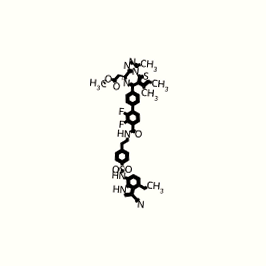 CCc1ccc(NS(=O)(=O)c2ccc(CCNC(=O)c3ccc(-c4ccc(C5=N[C@@H](CC(=O)OC)c6nnc(C)n6-c6sc(C)c(C)c65)cc4)c(F)c3F)cc2)c2[nH]cc(C#N)c12